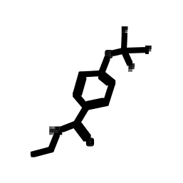 CCNC(=O)c1ccc(OC(F)(F)F)cc1